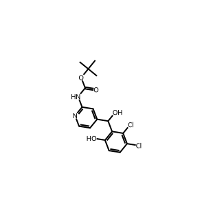 CC(C)(C)OC(=O)Nc1cc(C(O)c2c(O)ccc(Cl)c2Cl)ccn1